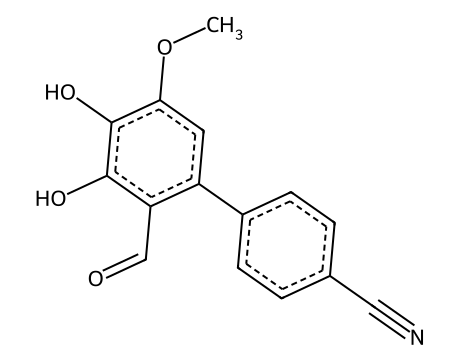 COc1cc(-c2ccc(C#N)cc2)c(C=O)c(O)c1O